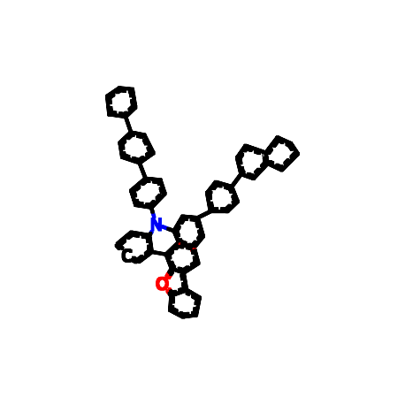 c1ccc(-c2ccc(-c3ccc(N(c4cccc(-c5ccc(-c6ccc7ccccc7c6)cc5)c4)c4ccccc4-c4cccc5c4oc4ccccc45)cc3)cc2)cc1